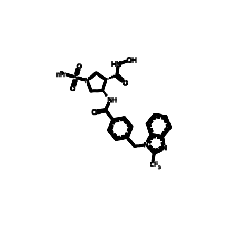 CCCS(=O)(=O)N1C[C@H](C(=O)NO)[C@H](NC(=O)c2ccc(Cn3c(C(F)(F)F)nc4ccccc43)cc2)C1